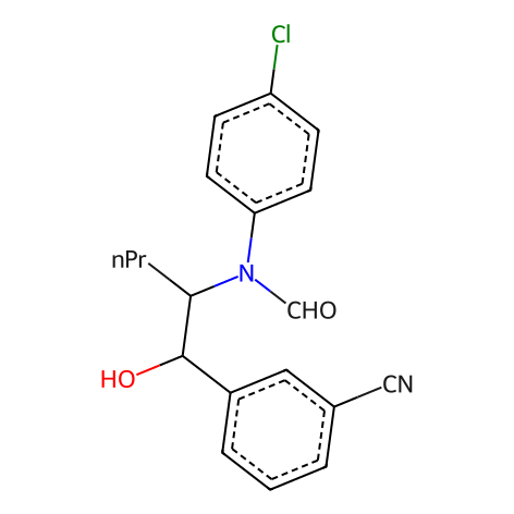 CCCC(C(O)c1cccc(C#N)c1)N(C=O)c1ccc(Cl)cc1